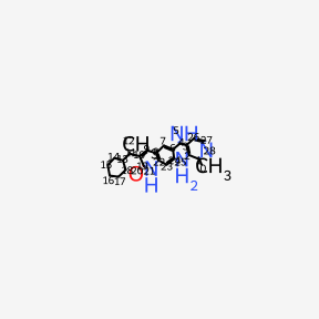 Cc1cc(C(=N)c2cc3cc(C(C)C4CCCCC4)c(=O)[nH]c3cc2N)ccn1